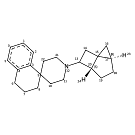 c1ccc2c(c1)CCCC21CCN(C2CC34C[C@H]3CC[C@H]24)CC1